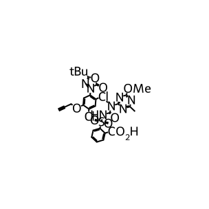 C#CCOc1cc(-n2nc(C(C)(C)C)oc2=O)c(Cl)cc1Cl.COc1nc(C)nc(N(C)C(=O)NS(=O)(=O)c2ccccc2C(=O)O)n1